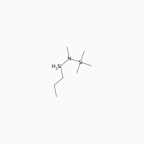 CCC[SiH2]N(C)[Si](C)(C)C